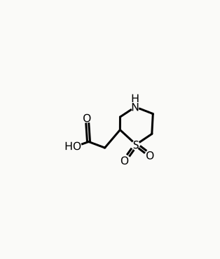 O=C(O)CC1CNCCS1(=O)=O